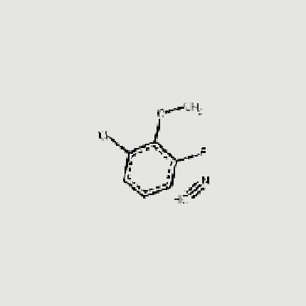 C#N.COc1c(F)cccc1Cl